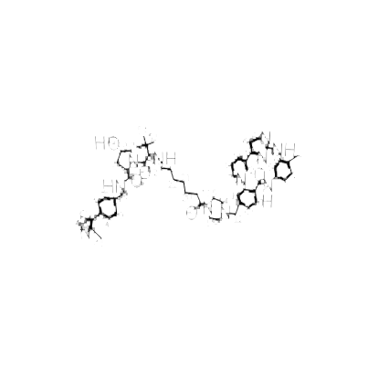 Cc1ccc(NC(=O)c2ccc(CN3CCN(C(=O)CCCCCCN[C@H](C(=O)N4CC(O)CC4C(=O)NCc4ccc(-c5scnc5C)cc4)C(C)(C)C)CC3)cc2)cc1Nc1nccc(-c2cccnc2)n1